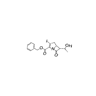 CC(O)C1C(=O)N2C(C(=O)OCc3ccccc3)=C(I)CC12